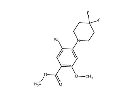 COC(=O)c1cc(Br)c(N2CCC(F)(F)CC2)cc1OC